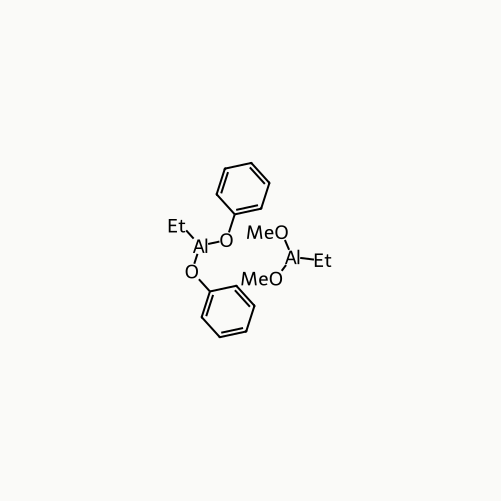 C[CH2][Al]([O]C)[O]C.C[CH2][Al]([O]c1ccccc1)[O]c1ccccc1